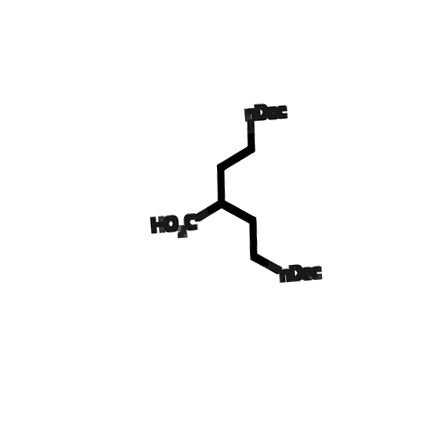 CCCCCCCCCCCCC(CCCCCCCCCCCC)C(=O)O